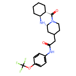 N[C@H]1CCCC[C@@H]1C(=O)N1CCC(CC(=O)Nc2ccc(OC(F)(F)F)cc2)CC1